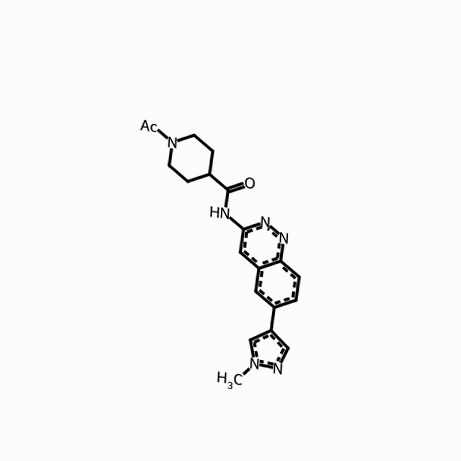 CC(=O)N1CCC(C(=O)Nc2cc3cc(-c4cnn(C)c4)ccc3nn2)CC1